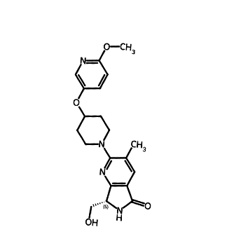 COc1ccc(OC2CCN(c3nc4c(cc3C)C(=O)N[C@@H]4CO)CC2)cn1